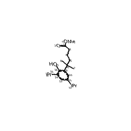 COC(=O)CCCC(C)(C)c1cc(C(C)C)cc(C(C)C)c1O